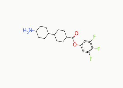 NC1CCC(C2CCC(C(=O)Oc3cc(F)c(F)c(F)c3)CC2)CC1